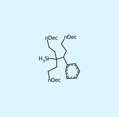 CCCCCCCCCCCCC(c1ccccc1)C([SiH3])(CCCCCCCCCCCC)CCCCCCCCCCCC